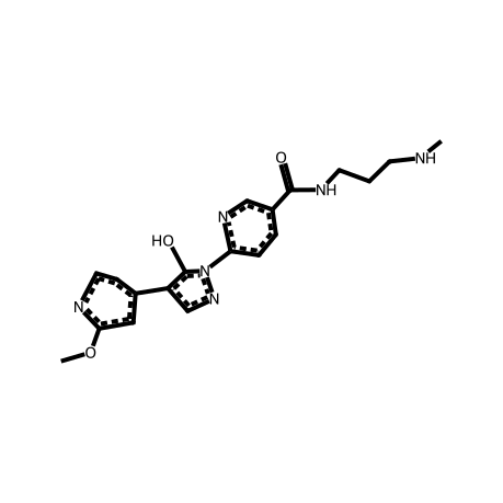 CNCCCNC(=O)c1ccc(-n2ncc(-c3ccnc(OC)c3)c2O)nc1